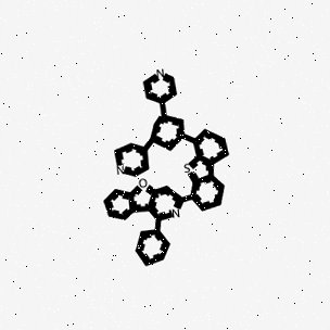 c1ccc(-c2nc(-c3cccc4c3sc3c(-c5cc(-c6ccncc6)cc(-c6ccncc6)c5)cccc34)cc3oc4ccccc4c23)cc1